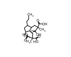 CCCC1CC(C)C(CC(C)(C(=O)O)C(=O)O)C1CC(C)(C(=O)O)C(=O)O